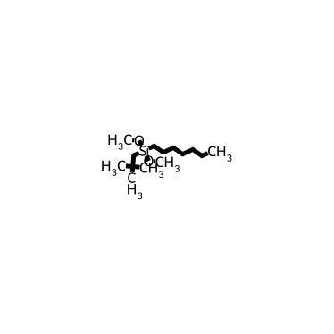 CCCCCCC[Si](CC(C)(C)C)(OC)OC